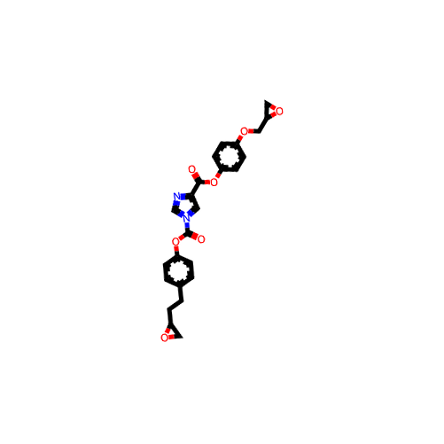 O=C(Oc1ccc(OCC2CO2)cc1)c1cn(C(=O)Oc2ccc(CCC3CO3)cc2)cn1